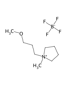 COCCC[N+]1(C)CCCC1.F[B-](F)(F)F